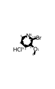 COc1cccnc1Br.Cl